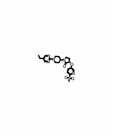 CCc1cnc(N2CCC(N3CC[C@H](Oc4ccc(S(C)(=O)=O)nc4)C3=O)CC2)nc1